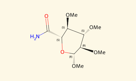 CO[C@@H]1O[C@H](C(N)=O)[C@@H](OC)[C@H](OC)[C@H]1OC